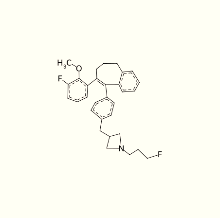 COc1c(F)cccc1C1=C(c2ccc(CC3CN(CCCF)C3)cc2)c2ccccc2CCC1